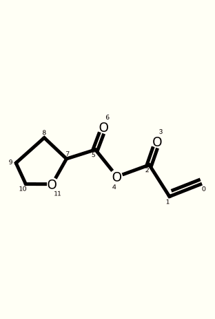 C=CC(=O)OC(=O)C1CCCO1